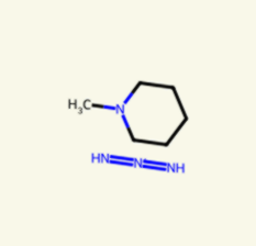 CN1CCCCC1.N=[N+]=N